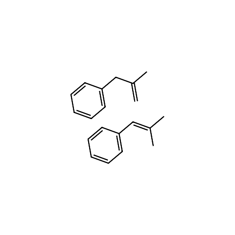 C=C(C)Cc1ccccc1.CC(C)=Cc1ccccc1